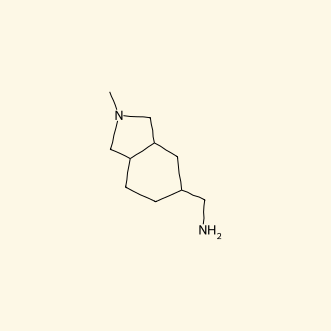 CN1CC2CCC(CN)CC2C1